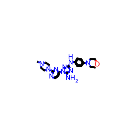 CN1CCN(c2nccc(-n3nc(Nc4ccc(N5CCOCC5)cc4)nc3N)n2)CC1